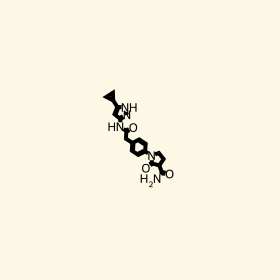 NC(=O)C1CCN(c2ccc(CC(=O)Nc3cc(C4CC4)[nH]n3)cc2)C1=O